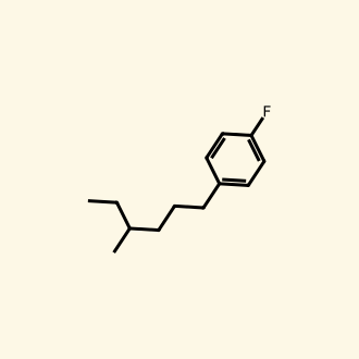 CCC(C)CCCc1ccc(F)cc1